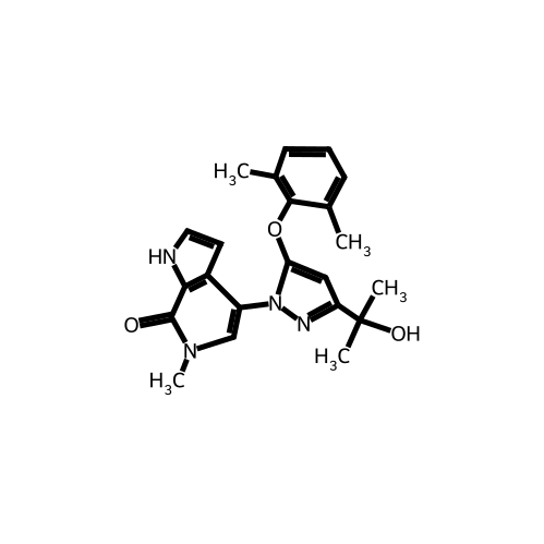 Cc1cccc(C)c1Oc1cc(C(C)(C)O)nn1-c1cn(C)c(=O)c2[nH]ccc12